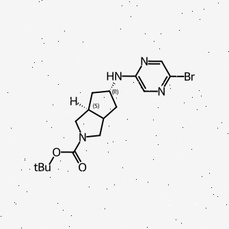 CC(C)(C)OC(=O)N1CC2C[C@@H](Nc3cnc(Br)cn3)C[C@@H]2C1